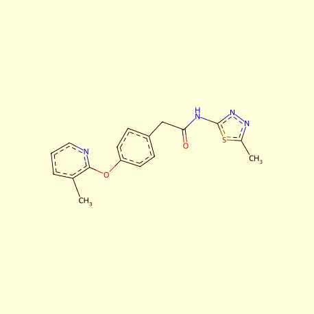 Cc1nnc(NC(=O)Cc2ccc(Oc3ncccc3C)cc2)s1